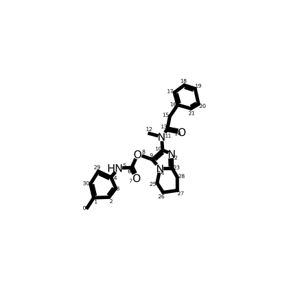 Cc1ccc(NC(=O)Oc2c(N(C)C(=O)Cc3ccccc3)nc3n2CCCC3)cc1